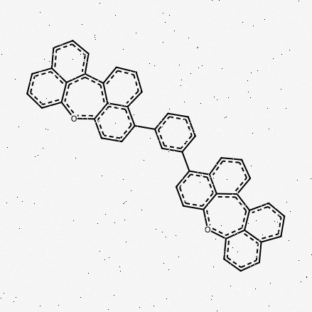 c1cc(-c2ccc3oc4cccc5cccc(c6cccc2c36)c54)cc(-c2ccc3oc4cccc5cccc(c6cccc2c36)c54)c1